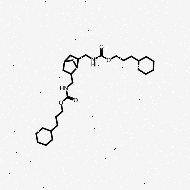 O=C(NCC1CC2CC(CNC(=O)OCCCC3CCCCC3)C1C2)OCCCC1CCCCC1